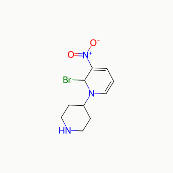 O=[N+]([O-])C1=CC=CN(C2CCNCC2)C1Br